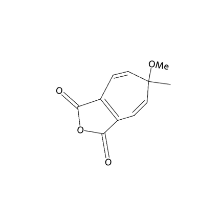 COC1(C)C=CC2=C(C=C1)C(=O)OC2=O